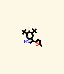 Cc1ccc(-c2c[nH]c3cc(C(C)(C)C)c(=O)c(C(C)(C)C)cc23)o1